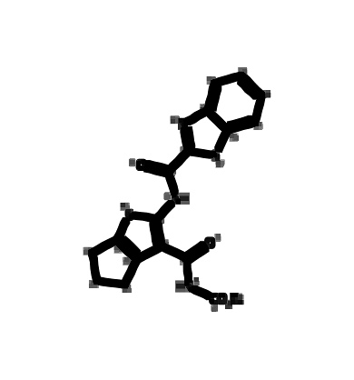 CCOC(=O)NC(=O)c1c(NC(=O)c2nc3ccccc3s2)sc2c1CCC2